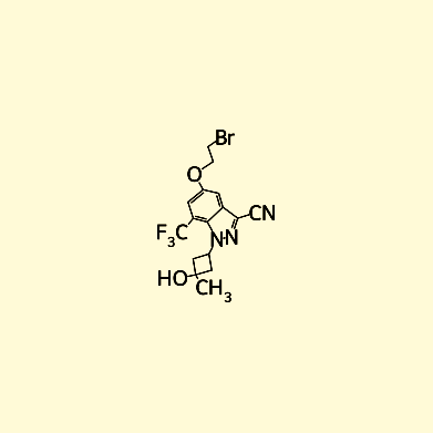 CC1(O)CC(n2nc(C#N)c3cc(OCCBr)cc(C(F)(F)F)c32)C1